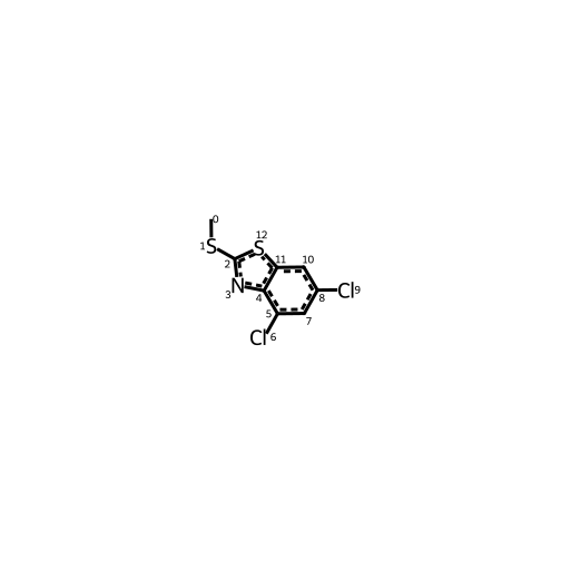 CSc1nc2c(Cl)cc(Cl)cc2s1